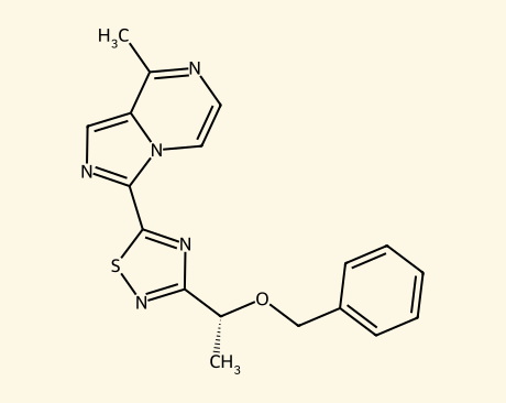 Cc1nccn2c(-c3nc([C@@H](C)OCc4ccccc4)ns3)ncc12